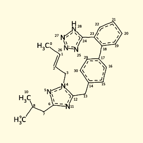 CC=CCn1nc(CC(C)C)nc1Cc1ccc(-c2ccccc2-c2nnn[nH]2)cc1